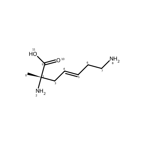 C[C@](N)(C/C=C/CCN)C(=O)O